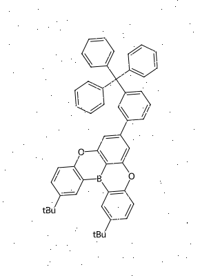 CC(C)(C)c1ccc2c(c1)B1c3cc(C(C)(C)C)ccc3Oc3cc(-c4cccc(C(c5ccccc5)(c5ccccc5)c5ccccc5)c4)cc(c31)O2